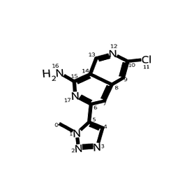 Cn1nncc1-c1cc2cc(Cl)ncc2c(N)n1